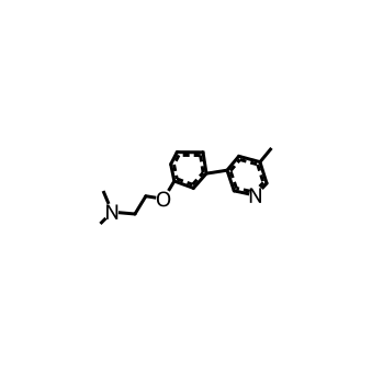 Cc1cncc(-c2cccc(OCCN(C)C)c2)c1